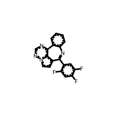 Fc1cc(F)c(C2=Nc3ccccc3-c3ncnn4ccc2c34)cc1F